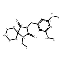 CCN1C(=O)N(Cc2cc(OC)cc(OC)c2)C(=O)C12CCNCC2